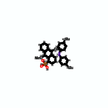 CC(C)(C)c1ccc([I+]c2ccc(C(C)(C)C)cc2)cc1.COc1c2ccccc2c(OC)c2c(S(=O)(=O)[O-])cccc12